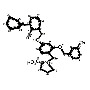 N#Cc1cccc(COc2cc(OCc3cccc(-c4ccccc4)c3Br)ccc2CN2CCC[C@H]2C(=O)O)c1